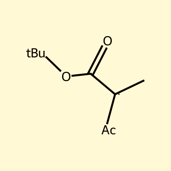 C[C](C(C)=O)C(=O)OC(C)(C)C